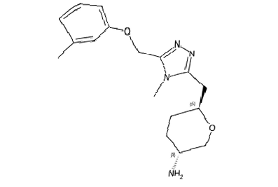 Cc1cccc(OCc2nnc(C[C@@H]3CC[C@@H](N)CO3)n2C)c1